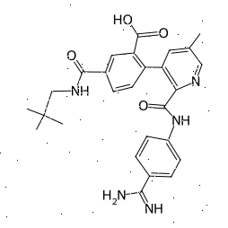 Cc1cnc(C(=O)Nc2ccc(C(=N)N)cc2)c(-c2ccc(C(=O)NCC(C)(C)C)cc2C(=O)O)c1